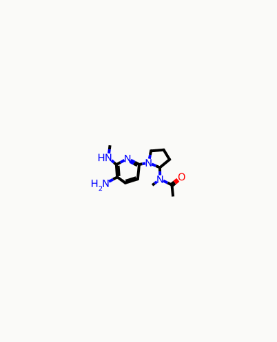 CNc1nc(N2CCCC2N(C)C(C)=O)ccc1N